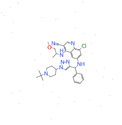 COCC(C)Nc1c(C#N)cnc2c(Cl)cc(NC(c3ccccc3)c3cn(C4CCN(C(C)(C)C)CC4)nn3)cc12